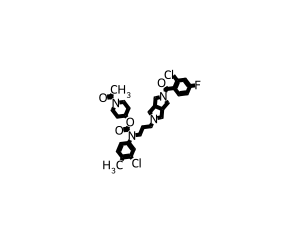 CC(=O)N1CCC(OC(=O)N(CCCN2CC3CN(C(=O)c4ccc(F)cc4Cl)CC3C2)c2ccc(C)c(Cl)c2)CC1